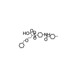 Cc1ccc(C(=O)Nc2ccc(S(=O)(=O)C(CCOCc3ccccc3)C(=O)O)cc2)cc1